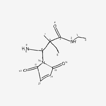 CCNC(=O)C(C)(C)C(N)N1C(=O)C=CC1=O